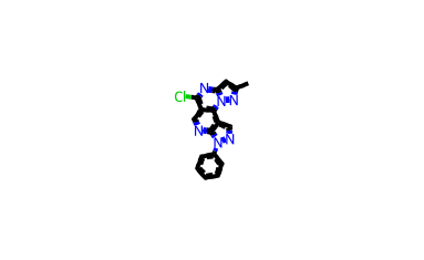 Cc1cc2nc(Cl)c3cnc4c(cnn4-c4ccccc4)c3n2n1